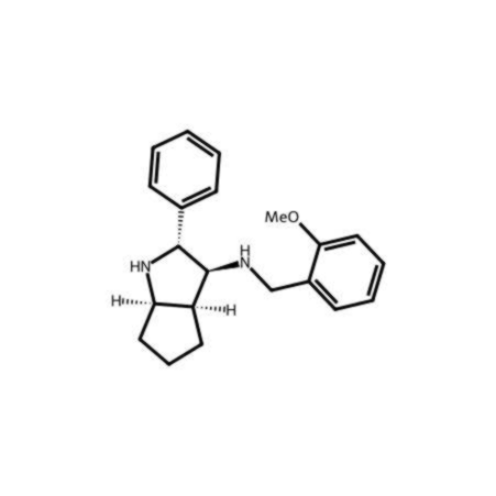 COc1ccccc1CN[C@H]1[C@H]2CCC[C@H]2N[C@@H]1c1ccccc1